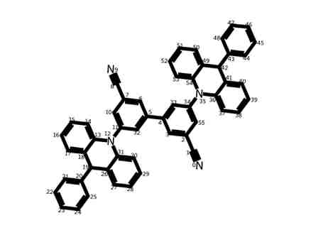 N#Cc1cc(-c2cc(C#N)cc(N3c4ccccc4C(c4ccccc4)c4ccccc43)c2)cc(N2c3ccccc3C(c3ccccc3)c3ccccc32)c1